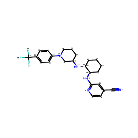 N#Cc1ccnc(N[C@@H]2CCCC[C@H]2NC2CCCN(c3ccc(C(F)(F)F)cc3)C2)c1